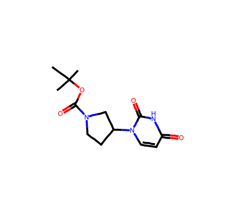 CC(C)(C)OC(=O)N1CCC(n2ccc(=O)[nH]c2=O)C1